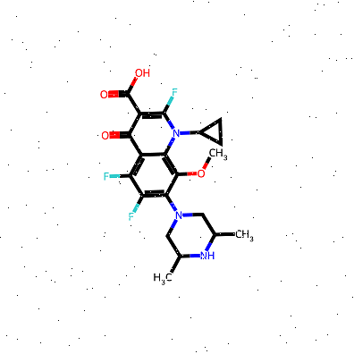 COc1c(N2CC(C)NC(C)C2)c(F)c(F)c2c(=O)c(C(=O)O)c(F)n(C3CC3)c12